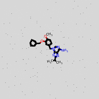 COc1ccc(Cn2cnc(N)c3nc(C(C)C)nc2-3)cc1OCc1ccccc1